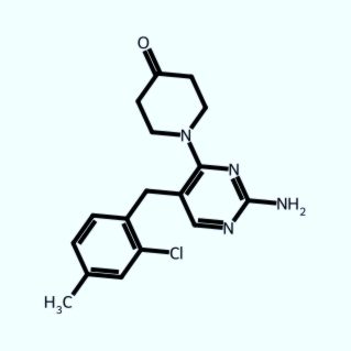 Cc1ccc(Cc2cnc(N)nc2N2CCC(=O)CC2)c(Cl)c1